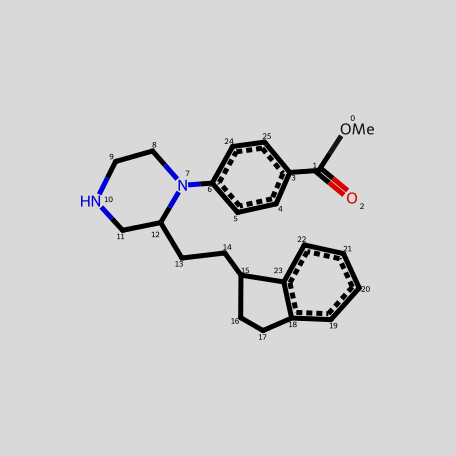 COC(=O)c1ccc(N2CCNCC2CCC2CCc3ccccc32)cc1